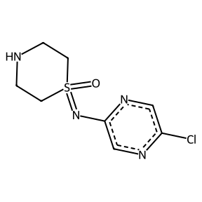 O=S1(=Nc2cnc(Cl)cn2)CCNCC1